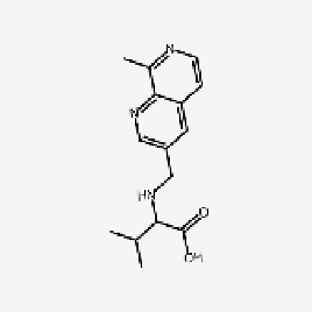 Cc1nccc2cc(CNC(C(=O)O)C(C)C)cnc12